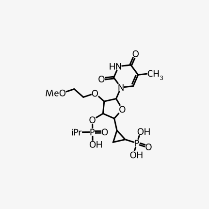 COCCOC1C(OP(=O)(O)C(C)C)C(C2CC2P(=O)(O)O)OC1n1cc(C)c(=O)[nH]c1=O